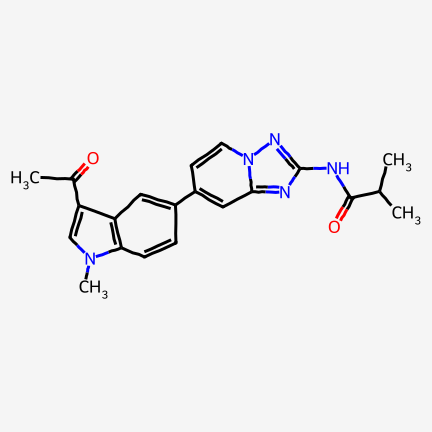 CC(=O)c1cn(C)c2ccc(-c3ccn4nc(NC(=O)C(C)C)nc4c3)cc12